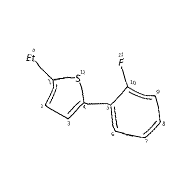 CCc1ccc(-c2ccccc2F)s1